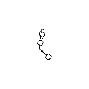 C(#Cc1ccccc1)Cc1ccc(N2CCOCC2)cc1